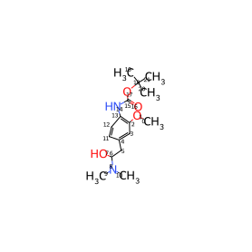 COc1cc(CC(O)N(C)C)ccc1NC(=O)OC(C)(C)C